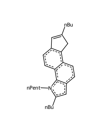 CCCCCn1c(CCCC)cc2ccc3c4c(ccc3c21)C=C(CCCC)C4